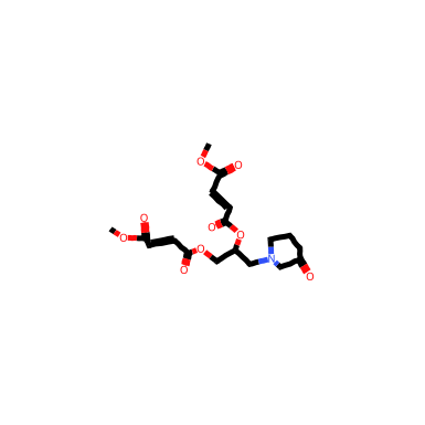 COC(=O)/C=C/C(=O)OCC(CN1CCCC(=O)C1)OC(=O)/C=C/C(=O)OC